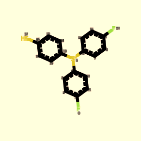 Fc1ccc([S+](c2ccc(F)cc2)c2ccc(S)cc2)cc1